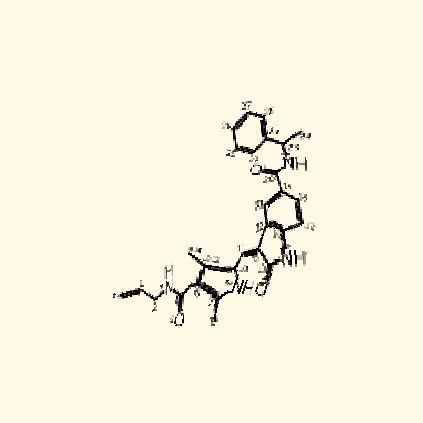 C=CCNC(=O)c1c(C)[nH]c(C=C2C(=O)Nc3ccc(C(=O)NC(C)c4ccccc4)cc32)c1C